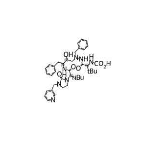 CC[C@H](C)[C@@H](C(=O)N[C@@H](Cc1ccccc1)[C@@H](O)CN(Cc1ccccc1)NC(=O)[C@@H](NC(=O)O)C(C)(C)C)N1CCN(Cc2cccnc2)C1=O